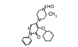 C[C@@H]1CN(c2cnn(-c3ccccc3)c(=O)c2OC2CCCCC2)CCN1C=O